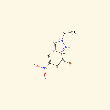 CCn1cc2cc([N+](=O)[O-])cc(Br)c2n1